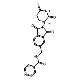 C[C@]1(N2C(=O)c3ccc(CNC(=O)c4ccncc4)cc3C2=O)CCC(=O)NC1=O